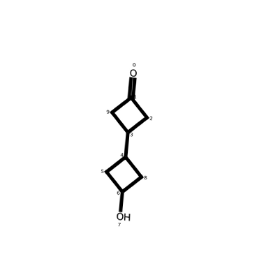 O=C1CC([C]2CC(O)C2)C1